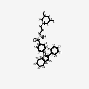 CC1CC(C)CN(CCCNC(=O)c2ccc(-n3c(-c4ccccc4)cc4c3CCCC4)cc2)C1